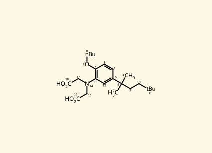 CCCCOc1ccc(C(C)(C)CCC(C)(C)C)cc1N(CC(=O)O)CC(=O)O